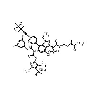 CC(C)(C#Cc1ccc(-c2ccc(Cl)c3c(N(C(=O)OCCNC(=O)C(=O)O)S(C)(=O)=O)nn(CC(F)(F)F)c23)c([C@H](Cc2cc(F)cc(F)c2)NC(=O)Cn2nc(C(F)(F)F)c3c2C(F)(F)[C@@H]2C[C@H]32)n1)S(C)(=O)=O